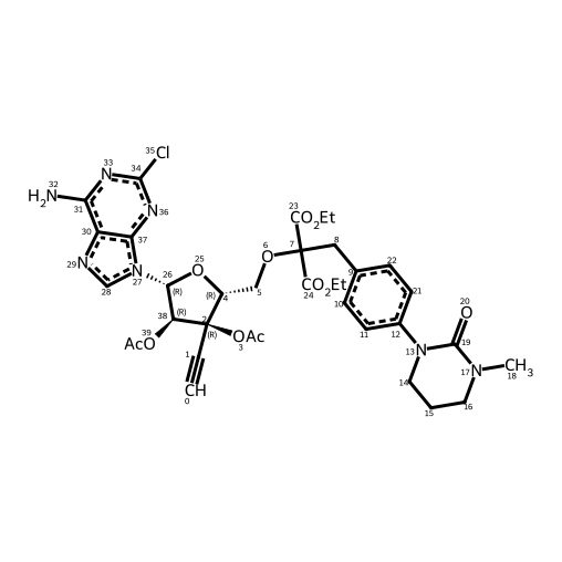 C#C[C@@]1(OC(C)=O)[C@@H](COC(Cc2ccc(N3CCCN(C)C3=O)cc2)(C(=O)OCC)C(=O)OCC)O[C@@H](n2cnc3c(N)nc(Cl)nc32)[C@@H]1OC(C)=O